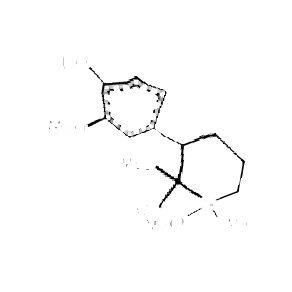 CCCC1(OC)C(c2ccc(O)c(OC)c2)CCC[Si]1(OC)OC